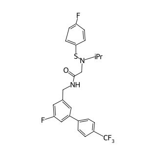 CC(C)N(CC(=O)NCc1cc(F)cc(-c2ccc(C(F)(F)F)cc2)c1)Sc1ccc(F)cc1